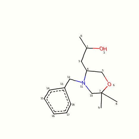 CC(O)CC1COC(C)(C)CN1Cc1ccccc1